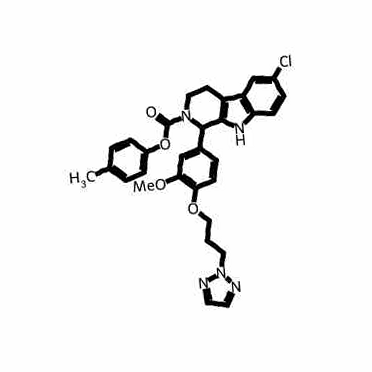 COc1cc(C2c3[nH]c4ccc(Cl)cc4c3CCN2C(=O)Oc2ccc(C)cc2)ccc1OCCCn1nccn1